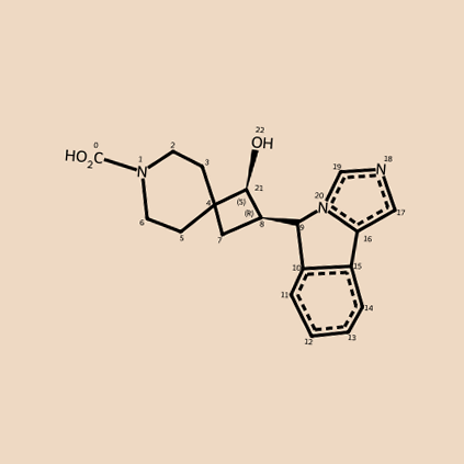 O=C(O)N1CCC2(CC1)C[C@H](C1c3ccccc3-c3cncn31)[C@@H]2O